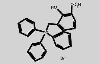 O=C(O)c1cccc(C[P+](c2ccccc2)(c2ccccc2)c2ccccc2)c1O.[Br-]